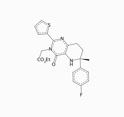 CCOC(=O)Cn1c(-c2cccs2)nc2c(c1=O)N[C@@](C)(c1ccc(F)cc1)CC2